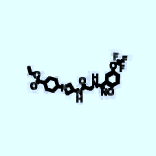 CCOC(=O)C1CCC(N2CC(NC(=O)CNc3noc4ccc(OC(F)(F)F)cc34)C2)CC1